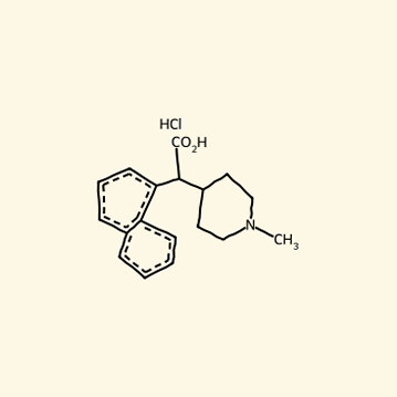 CN1CCC(C(C(=O)O)c2cccc3ccccc23)CC1.Cl